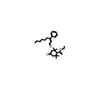 C=C(OCC)C1C(C)(C)CC(=O)CC1(C)C.CCCCCCC(=CC=O)c1ccccc1